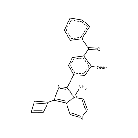 COc1cc(C2=NC(C3=CC=C3)=C3C=NC=C[N+]23N)ccc1C(=O)c1ccccc1